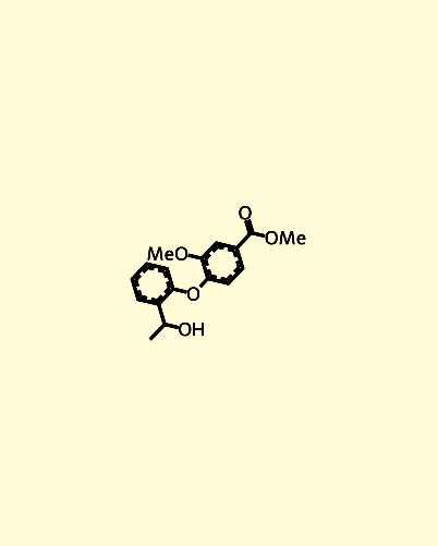 COC(=O)c1ccc(Oc2ccccc2C(C)O)c(OC)c1